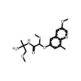 COCC(C)(N)NC(=O)C(Oc1cc(C)c2ncc(OC)cc2c1)SC